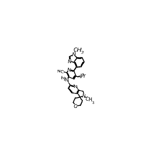 CC(C)c1cc(Nc2ccc3c(n2)CN(C)C32CCOCC2)c(C#N)nc1-c1cccc2c1ncn2C